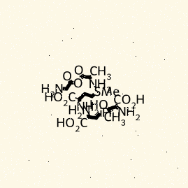 CC(C)C[C@H](N)C(=O)O.CSCC[C@H](N)C(=O)O.C[C@@H](O)[C@H](N)C(=O)O.C[C@H](N)C(=O)OC(=O)CN